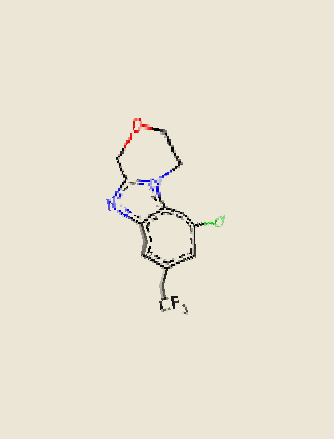 FC(F)(F)c1cc(Cl)c2c(c1)nc1n2CCOC1